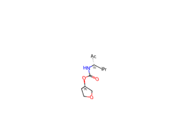 CC(=O)[C@@H](NC(=O)O[C@@H]1CCOC1)C(C)C